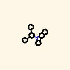 c1ccc(-c2cc(-c3ccccc3)cc(-n3c4ccccc4c4cc5ccccc5cc43)c2)cc1